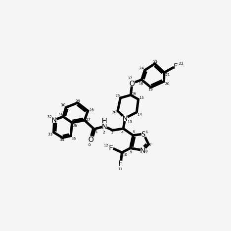 O=C(NCC(c1scnc1C(F)F)N1CCC(Oc2ccc(F)cc2)CC1)c1cccc2ncccc12